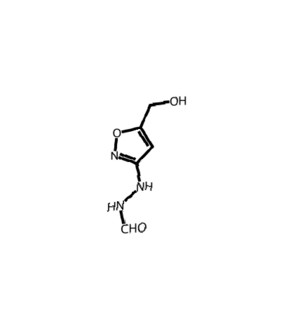 O=CNNc1cc(CO)on1